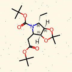 CC[C@@H]1[C@H]2OC(C)(C)O[C@H]2C(CC(=O)OC(C)(C)C)N1C(=O)OC(C)(C)C